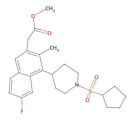 COC(=O)Cc1cc2ccc(F)cc2c(C2CCN(S(=O)(=O)C3CCCC3)CC2)c1C